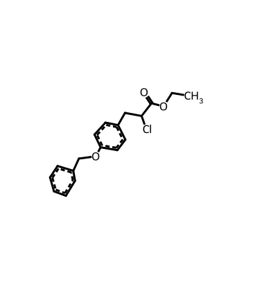 CCOC(=O)C(Cl)Cc1ccc(OCc2ccccc2)cc1